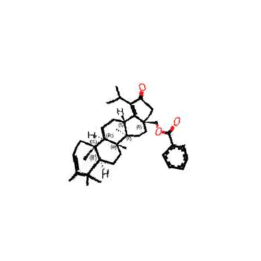 CC1=CC[C@]2(C)[C@H]3CC[C@@H]4C5=C(C(C)C)C(=O)C[C@]5(COC(=O)c5ccccc5)CC[C@@]4(C)[C@]3(C)CC[C@H]2C1(C)C